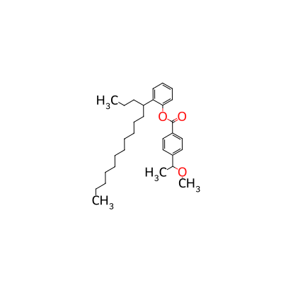 CCCCCCCCCCCC(CCC)c1ccccc1OC(=O)c1ccc(C(C)OC)cc1